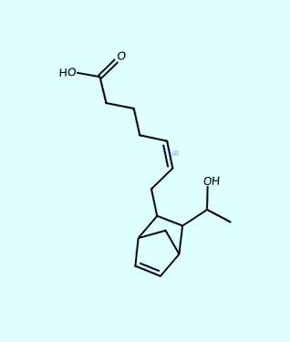 CC(O)C1C2C=CC(C2)C1C/C=C\CCCC(=O)O